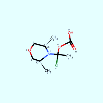 C[C@@H]1COC[C@H](C)N1C(C)(Cl)OC(=O)O